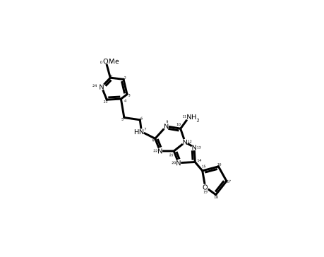 COc1ccc(CCNc2nc(N)n3nc(-c4ccco4)nc3n2)cn1